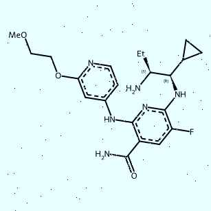 CC[C@H](N)[C@H](Nc1nc(Nc2ccnc(OCCOC)c2)c(C(N)=O)cc1F)C1CC1